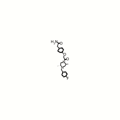 C[C@@H]1CN(C(=O)COc2ccc(CC(N)=O)cc2)[C@@H](C)CN1Cc1ccc(F)cc1